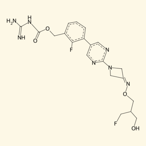 N=C(N)NC(=O)OCc1cccc(-c2cnc(N3CC(=NOCC(CO)CF)C3)nc2)c1F